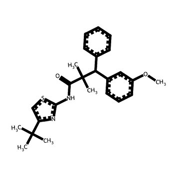 COc1cccc(C(c2ccccc2)C(C)(C)C(=O)Nc2nc(C(C)(C)C)cs2)c1